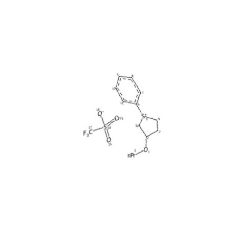 CCCOC1CC[S+](c2ccccc2)C1.O=S(=O)([O-])C(F)(F)F